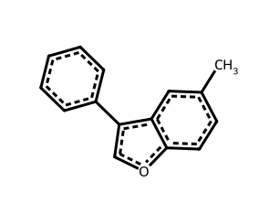 Cc1ccc2occ(-c3ccccc3)c2c1